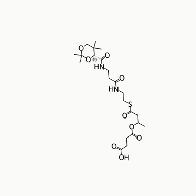 CC(CC(=O)SCCNC(=O)CCNC(=O)[C@@H]1OC(C)(C)OCC1(C)C)OC(=O)CCC(=O)O